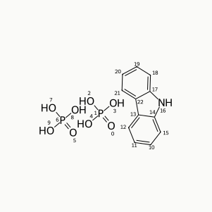 O=P(O)(O)O.O=P(O)(O)O.c1ccc2c(c1)[nH]c1ccccc12